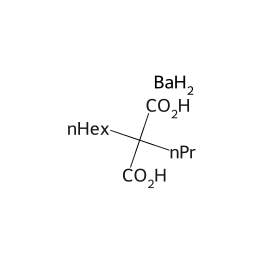 CCCCCCC(CCC)(C(=O)O)C(=O)O.[BaH2]